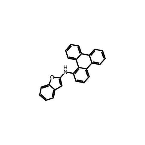 c1ccc2oc(Nc3cccc4c5ccccc5c5ccccc5c34)cc2c1